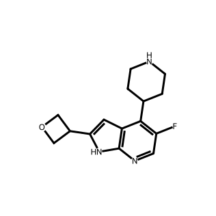 Fc1cnc2[nH]c(C3COC3)cc2c1C1CCNCC1